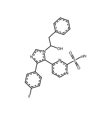 CCCS(=O)(=O)c1nccc(-c2c(-c3ccc(F)cc3)ncn2C(O)Cc2ccccc2)n1